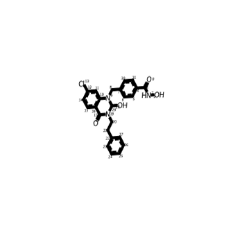 O=C(NO)c1ccc(CN2c3cc(Cl)ccc3C(=O)N(CCc3ccccc3)C2O)cc1